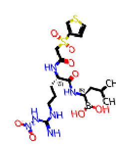 CC(C)C[C@H](NC(=O)[C@H](CCCNC(=N)N[N+](=O)[O-])NC(=O)CS(=O)(=O)c1ccsc1)B(O)O